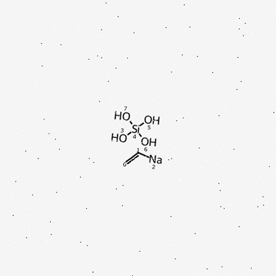 C=[CH][Na].O[Si](O)(O)O